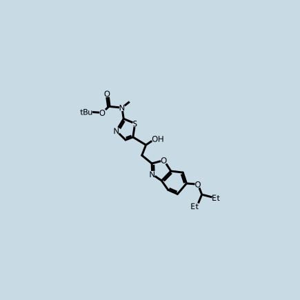 CCC(CC)Oc1ccc2nc(CC(O)c3cnc(N(C)C(=O)OC(C)(C)C)s3)oc2c1